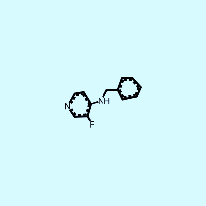 Fc1cnccc1NCc1ccccc1